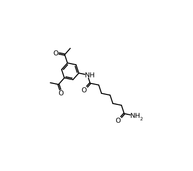 CC(=O)c1cc(NC(=O)CCCCCC(N)=O)cc(C(C)=O)c1